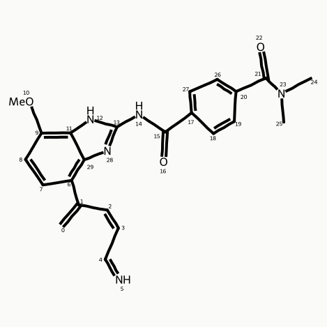 C=C(/C=C\C=N)c1ccc(OC)c2[nH]c(NC(=O)c3ccc(C(=O)N(C)C)cc3)nc12